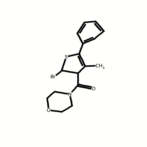 CC1=C(c2ccccc2)SC(Br)C1C(=O)N1CCOCC1